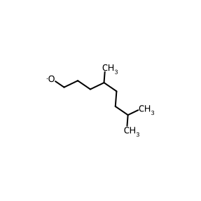 CC(C)CCC(C)CCC[O]